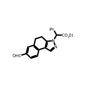 CCOC(=O)C(C(C)C)n1ncc2c1CCc1cc(C=O)ccc1-2